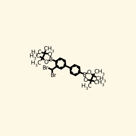 CC1(C)OB(c2ccc(-c3ccc(B4OC(C)(C)C(C)(C)O4)c(C(Br)Br)c3)cc2)OC1(C)C